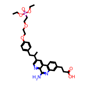 CCOP(=O)(CCOCCOc1ccc(CC(C)c2cnc3c(N)nc4cc(CCC(=O)O)ccc4c3c2)cc1)OCC